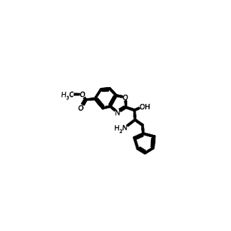 COC(=O)c1ccc2oc(C(O)C(N)Cc3ccccc3)nc2c1